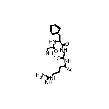 CC(=O)C(CCCNC(=N)N)NC(=O)CNC(=O)C(Cc1ccccc1)NC(=O)CN